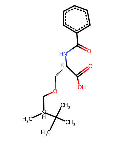 C[SiH](COC[C@H](NC(=O)c1ccccc1)C(=O)O)C(C)(C)C